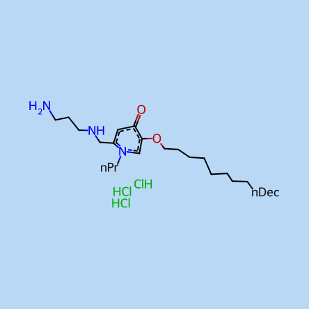 CCCCCCCCCCCCCCCCCCOc1cn(CCC)c(CNCCCN)cc1=O.Cl.Cl.Cl